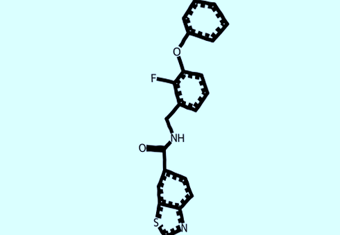 O=C(NCc1cccc(Oc2ccccc2)c1F)c1ccc2ncsc2c1